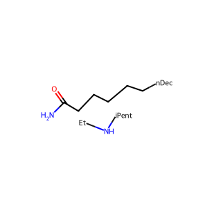 CCCC(C)NCC.CCCCCCCCCCCCCCCC(N)=O